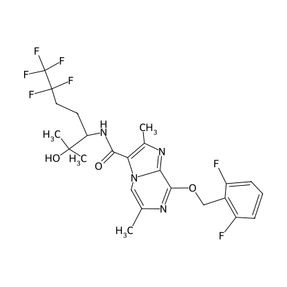 Cc1cn2c(C(=O)NC(CCC(F)(F)C(F)(F)F)C(C)(C)O)c(C)nc2c(OCc2c(F)cccc2F)n1